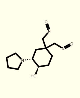 O=NCC1(CN=O)CC[C@@H](O)[C@H](N2CCCC2)C1